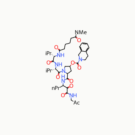 CCCC(NC(=O)C1CC(OC(=O)N2CCc3ccccc3C2)CN1C(=O)[C@@H](NC(=O)[C@@H](NC(=O)CCCCC(=O)NC)C(C)C)C(C)C)C(=O)C(=O)NCC(C)=O